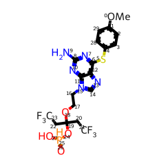 COc1ccc(Sc2nc(N)nc3c2ncn3CCOC(CC(F)(F)F)(CC(F)(F)F)O[PH](=O)O)cc1